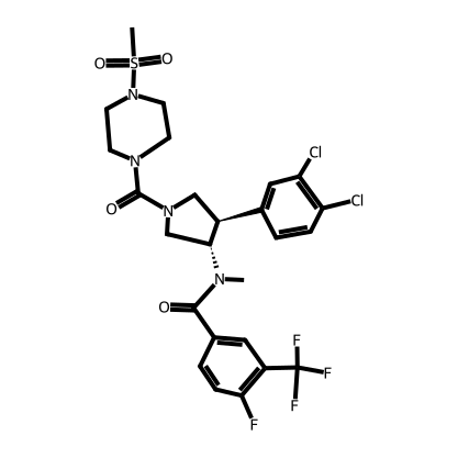 CN(C(=O)c1ccc(F)c(C(F)(F)F)c1)[C@@H]1CN(C(=O)N2CCN(S(C)(=O)=O)CC2)C[C@H]1c1ccc(Cl)c(Cl)c1